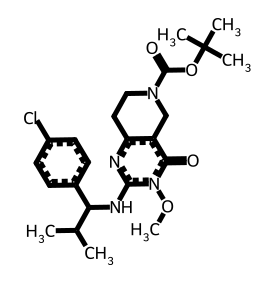 COn1c(NC(c2ccc(Cl)cc2)C(C)C)nc2c(c1=O)CN(C(=O)OC(C)(C)C)CC2